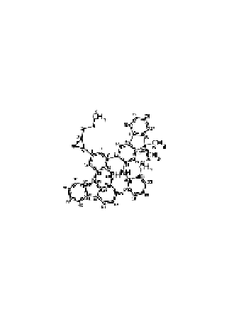 CCCC1CC1c1cc(-c2cc3c(cc2Nc2ccccc2C)C(C)(C)c2ccccc2-3)c2c(c1)-n1c3ccccc3c3cccc(c31)B2